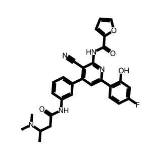 CC(CC(=O)Nc1cccc(-c2cc(-c3ccc(F)cc3O)nc(NC(=O)c3ccco3)c2C#N)c1)N(C)C